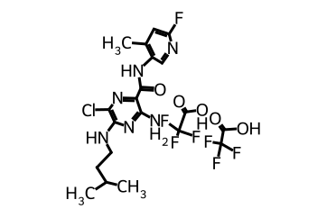 Cc1cc(F)ncc1NC(=O)c1nc(Cl)c(NCCC(C)C)nc1N.O=C(O)C(F)(F)F.O=C(O)C(F)(F)F